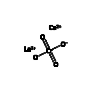 [Ca+2].[La+3].[O]=[Cr](=[O])([O-])[O-]